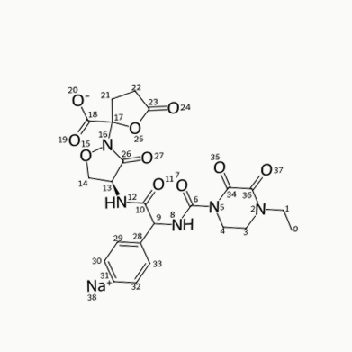 CCN1CCN(C(=O)NC(C(=O)N[C@H]2CON(C3(C(=O)[O-])CCC(=O)O3)C2=O)c2ccccc2)C(=O)C1=O.[Na+]